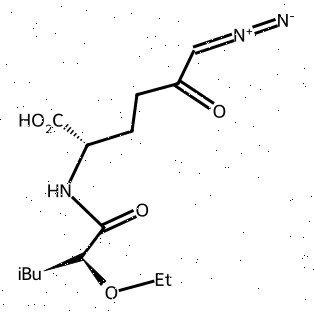 CCO[C@H](C(=O)N[C@@H](CCC(=O)C=[N+]=[N-])C(=O)O)[C@H](C)CC